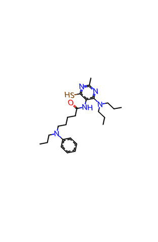 CCCN(CCCCC(=O)Nc1c(S)nc(C)nc1N(CCC)CCC)c1ccccc1